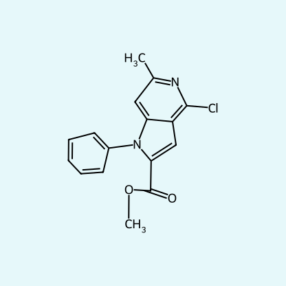 COC(=O)c1cc2c(Cl)nc(C)cc2n1-c1ccccc1